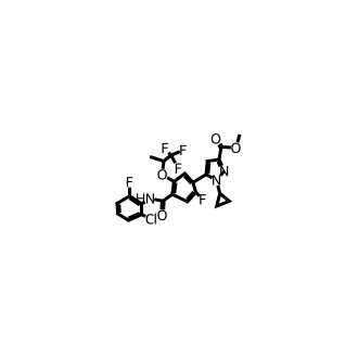 COC(=O)c1cc(-c2cc(OC(C)C(F)(F)F)c(C(=O)Nc3c(F)cccc3Cl)cc2F)n(C2CC2)n1